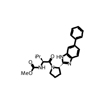 COC(=O)N[C@H](C(=O)N1CCC[C@H]1c1nc2ccc(-c3ccccc3)cc2[nH]1)C(C)C